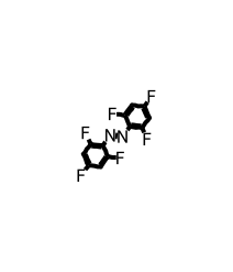 Fc1cc(F)c(N=Nc2c(F)cc(F)cc2F)c(F)c1